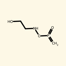 C=P(=O)ONCCO